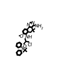 COc1ccc2c(c1NCC(CCl)CO[Si](c1ccccc1)(c1ccccc1)C(C)(C)C)CC(C)(C)c1c(N)ncnc1-2